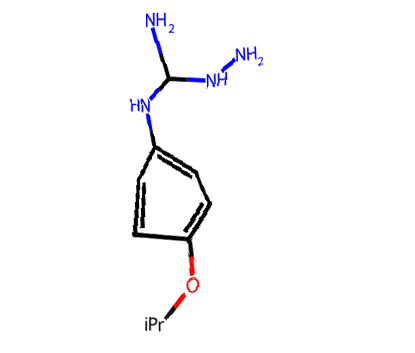 CC(C)Oc1ccc(NC(N)NN)cc1